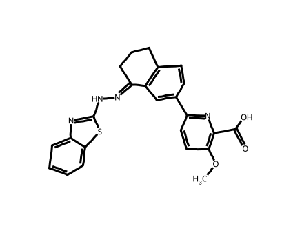 COc1ccc(-c2ccc3c(c2)C(=NNc2nc4ccccc4s2)CCC3)nc1C(=O)O